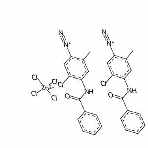 Cc1cc(NC(=O)c2ccccc2)c(Cl)cc1[N+]#N.Cc1cc(NC(=O)c2ccccc2)c(Cl)cc1[N+]#N.[Cl][Zn-2]([Cl])([Cl])[Cl]